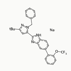 CC(C)(C)c1cc(-c2nc3cc(-c4ccccc4OC(F)(F)F)ccc3[nH]2)n(Cc2ccccc2)n1.[Na]